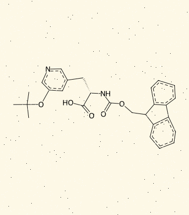 CC(C)(C)Oc1cncc(C[C@H](NC(=O)OCC2c3ccccc3-c3ccccc32)C(=O)O)c1